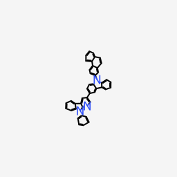 c1ccc(-n2c3ccccc3c3cc(-c4ccc5c(c4)c4ccccc4n5-c4ccc5c(ccc6ccccc65)c4)cnc32)cc1